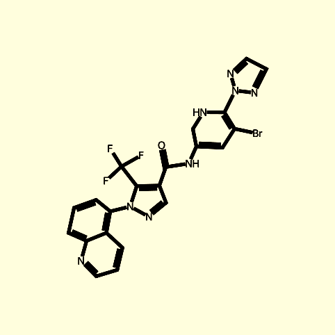 O=C(NC1=CC(Br)=C(n2nccn2)NC1)c1cnn(-c2cccc3ncccc23)c1C(F)(F)F